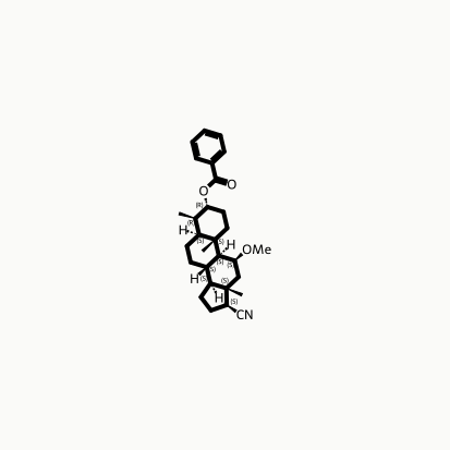 CO[C@H]1C[C@]2(C)[C@@H](C#N)CC[C@H]2[C@@H]2CC[C@H]3[C@@H](C)[C@H](OC(=O)c4ccccc4)CC[C@]3(C)[C@H]21